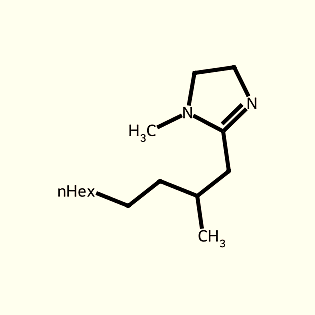 CCCCCCCCC(C)CC1=NCCN1C